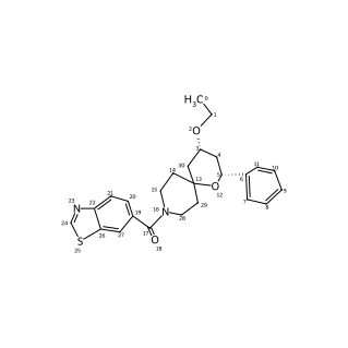 CCO[C@@H]1C[C@H](c2ccccc2)OC2(CCN(C(=O)c3ccc4ncsc4c3)CC2)C1